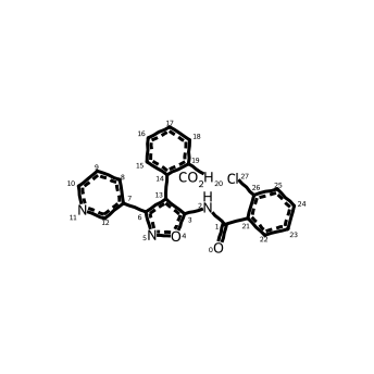 O=C(Nc1onc(-c2cccnc2)c1-c1ccccc1C(=O)O)c1ccccc1Cl